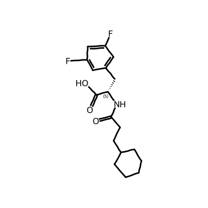 O=C(CCC1CCCCC1)N[C@@H](Cc1cc(F)cc(F)c1)C(=O)O